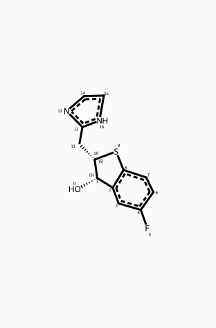 O[C@H]1c2cc(F)ccc2S[C@H]1Cc1ncc[nH]1